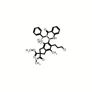 COC(=O)C1(C(=O)OC)Cc2c(C)c(CCCCl)c(B3Nc4ccccc4C(=O)N3[C@H](C)c3ccccc3)c(C)c2C1